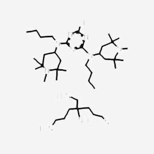 CCCCN(c1nc(Cl)nc(N(CCCC)C2CC(C)(C)N(C)C(C)(C)C2)n1)C1CC(C)(C)N(C)C(C)(C)C1.NCCCC(N)(CN)CCCN